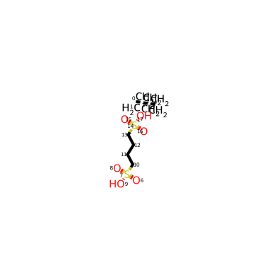 C=C.C=C.C=C.O=S(=O)(O)CCCCS(=O)(=O)O